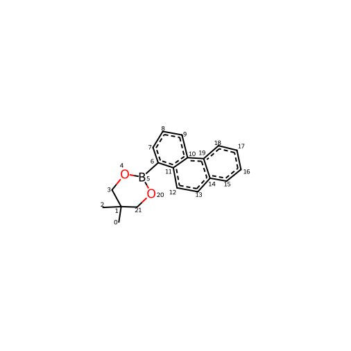 CC1(C)COB(c2cccc3c2ccc2ccccc23)OC1